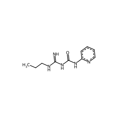 CCCNC(=N)NC(=O)Nc1ccccn1